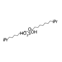 CC(C)CCCCCCCCOCCCCCCCCC(C)C.O=S(=O)(O)O